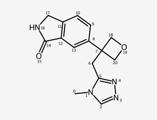 Cn1cnnc1CC1(c2ccc3c(c2)C(=O)NC3)COC1